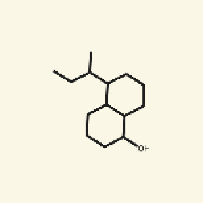 CCC(C)C1CCCC2C(O)CCCC12